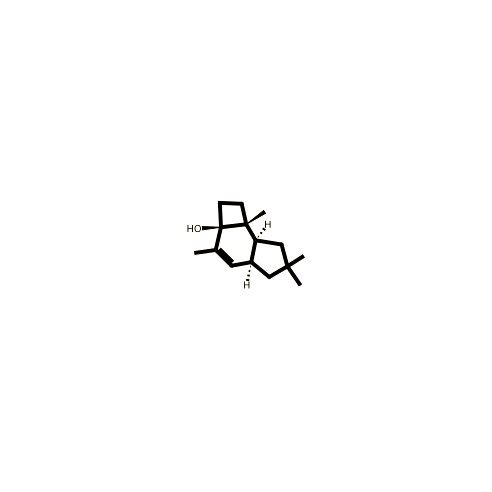 CC1=C[C@@H]2CC(C)(C)C[C@@H]2[C@@]2(C)CC[C@@]12O